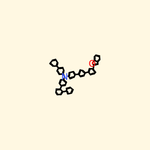 c1ccc(-c2ccc(N(c3ccc(-c4ccc(-c5cccc(-c6cc7ccccc7o6)c5)cc4)cc3)c3ccc(-c4ccccc4-c4ccccc4)cc3)cc2)cc1